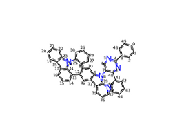 c1ccc(-c2ncc(-n3c4ccc(-c5cccc6c7ccccc7n(-c7ccccc7)c56)cc4c4cccnc43)c(-c3ccccc3)n2)cc1